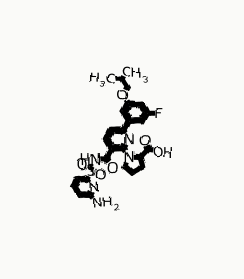 CC(C)COc1cc(F)cc(-c2ccc(C(=O)NS(=O)(=O)c3cccc(N)n3)c(N3CCCC3C(=O)O)n2)c1